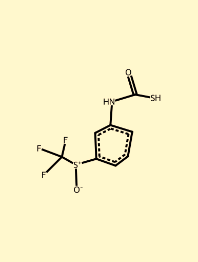 O=C(S)Nc1cccc([S+]([O-])C(F)(F)F)c1